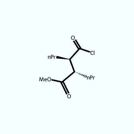 CCC[C@H](C(=O)OC)[C@@H](CCC)C(=O)Cl